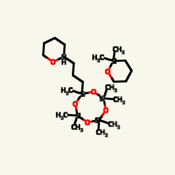 C[Si]1(C)CCCCO1.C[Si]1(C)O[Si](C)(C)O[Si](C)(CCC[SiH]2CCCCO2)O[Si](C)(C)O1